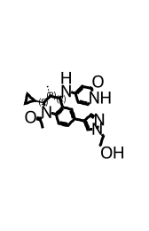 CC(=O)N1c2ccc(-c3cnn(CCO)c3)cc2[C@H](Nc2cc[nH]c(=O)c2)[C@@H](C)[C@@H]1C1CC1